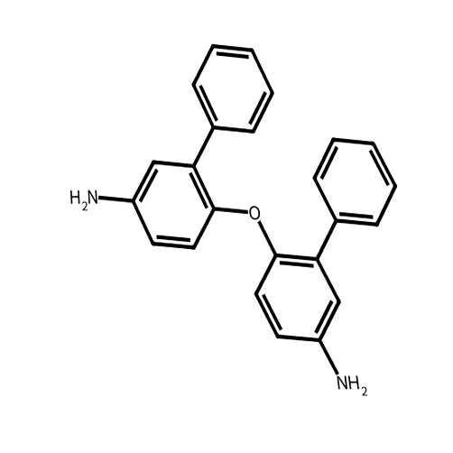 Nc1ccc(Oc2ccc(N)cc2-c2ccccc2)c(-c2ccccc2)c1